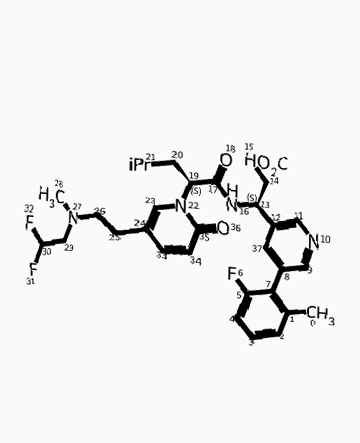 Cc1cccc(F)c1-c1cncc([C@H](CC(=O)O)NC(=O)[C@H](CC(C)C)n2cc(CCN(C)CC(F)F)ccc2=O)c1